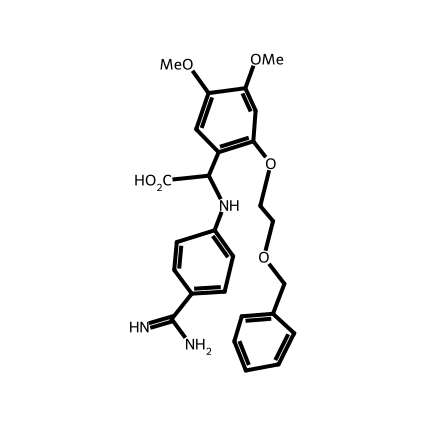 COc1cc(OCCOCc2ccccc2)c(C(Nc2ccc(C(=N)N)cc2)C(=O)O)cc1OC